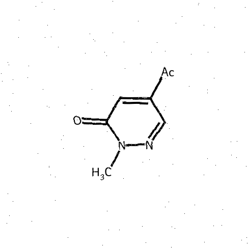 CC(=O)c1cnn(C)c(=O)c1